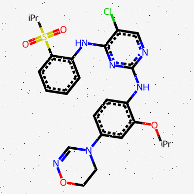 CC(C)Oc1cc(N2C=NOCC2)ccc1Nc1ncc(Cl)c(Nc2ccccc2S(=O)(=O)C(C)C)n1